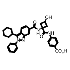 O=C(O)c1ccc(NC(=O)[C@]2(NC(=O)c3ccc4c(C5CCCCC5)n(-c5ccccc5)nc4c3)C[C@@H](O)C2)cc1